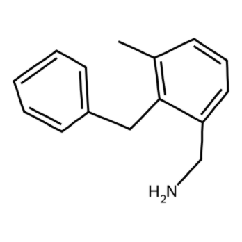 Cc1cccc(CN)c1Cc1ccccc1